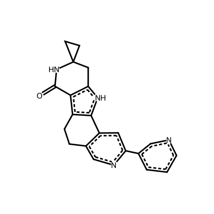 O=C1NC2(CC2)Cc2[nH]c3c(c21)CCc1cnc(-c2cccnc2)cc1-3